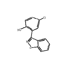 Oc1ccc(Cl)cc1-c1noc2ccccc12